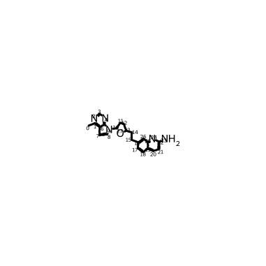 Cc1ncnc2c1ccn2C1CCC(CCc2ccc3ccc(N)nc3c2)O1